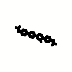 CC(C)Oc1ccc(N2C=CC(C3=CC(C)N(c4ccc(OC(C)C)cc4)C=C3)=CC2)cc1